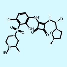 CC[C@@H](Nc1c(Nc2ccc(Cl)c(S(=O)(=O)N3CCN(C(C)C)C(C)C3)c2O)c(=O)c1=O)[C@H]1CC[C@@H](C)O1